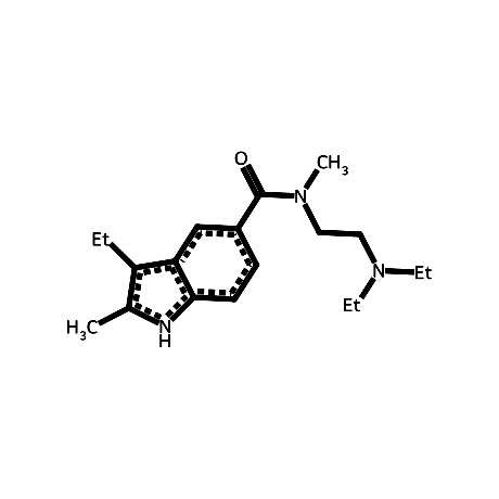 CCc1c(C)[nH]c2ccc(C(=O)N(C)CCN(CC)CC)cc12